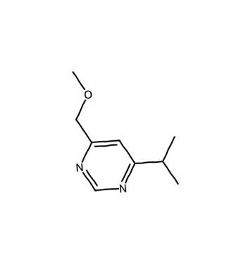 COCc1cc(C(C)C)ncn1